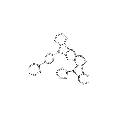 c1ccc(-n2c3ccccc3c3ccc4cc5c6ccccc6n(-c6ccc(-c7ccccn7)cc6)c5cc4c32)cc1